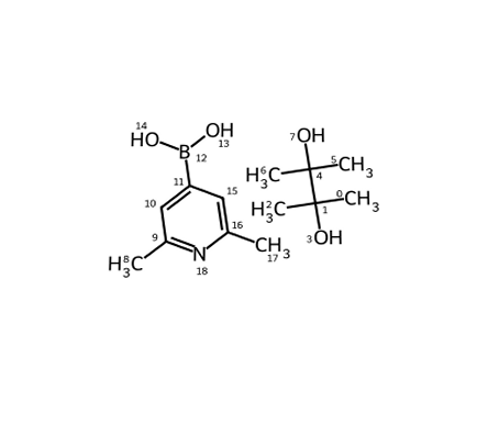 CC(C)(O)C(C)(C)O.Cc1cc(B(O)O)cc(C)n1